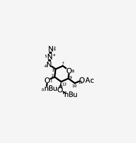 CCCCOC1C(N=[N+]=[N-])COC(COC(C)=O)[C@H]1OCCCC